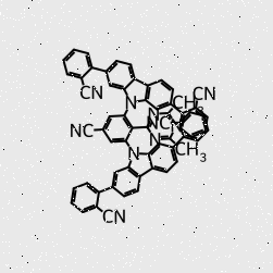 Cc1nc(C)nc(-c2c(-n3c4cc(-c5ccccc5C#N)ccc4c4ccc(-c5ccccc5C#N)cc43)cc(C#N)cc2-n2c3cc(-c4ccccc4C#N)ccc3c3ccc(-c4ccccc4C#N)cc32)n1